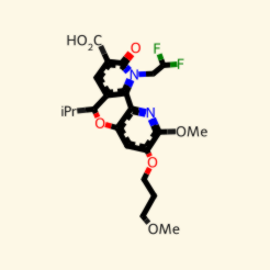 COCCCOc1cc2c(nc1OC)-c1c(cc(C(=O)O)c(=O)n1CC(F)F)C(C(C)C)O2